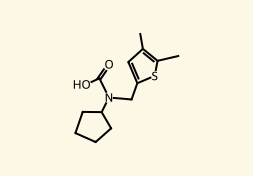 Cc1cc(CN(C(=O)O)C2CCCC2)sc1C